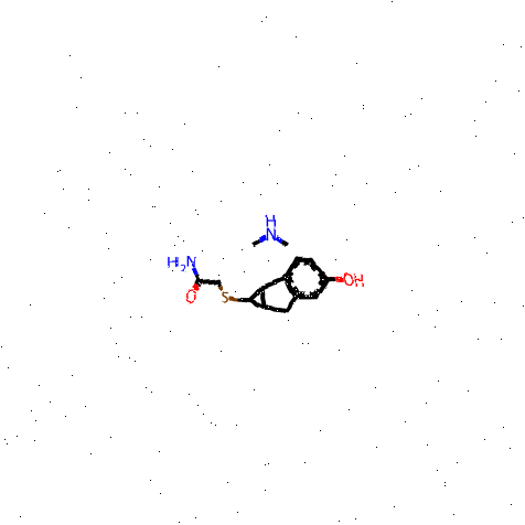 CNC.NC(=O)CSC1C2Cc3cc(O)ccc3C21